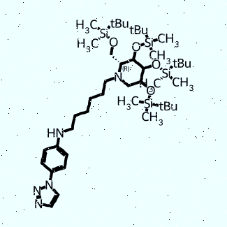 CC(C)(C)[Si](C)(C)OC[C@@H]1C(O[Si](C)(C)C(C)(C)C)C(O[Si](C)(C)C(C)(C)C)C(O[Si](C)(C)C(C)(C)C)CN1CCCCCCNc1ccc(-n2ccnn2)cc1